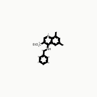 CCOC(=O)c1cnc2c(C)cc(C)cc2c1NCc1ccccc1